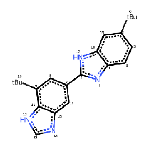 CC(C)(C)c1ccc2nc(-c3cc(C(C)(C)C)c4[nH]cnc4c3)[nH]c2c1